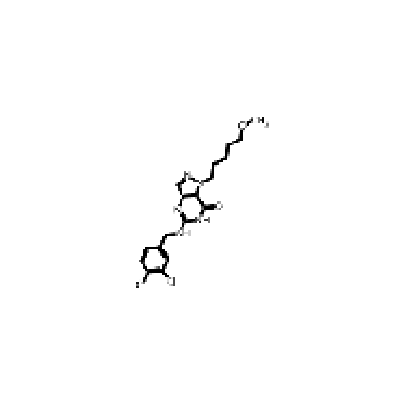 COCCCCCn1ncc2nc(NCc3ccc(Cl)c(Cl)c3)[nH]c(=O)c21